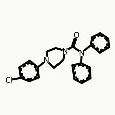 O=C(N1CCN(c2ccc(Cl)cc2)CC1)N(c1ccccc1)c1ccccc1